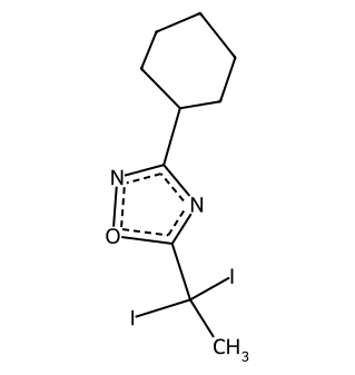 CC(I)(I)c1nc(C2CCCCC2)no1